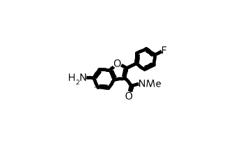 CNC(=O)c1c(-c2ccc(F)cc2)oc2cc(N)[c]cc12